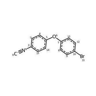 [C-]#[N+]c1ccc(Oc2ccc(Br)cc2)cc1